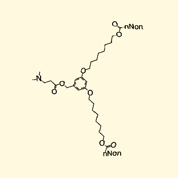 CCCCCCCCCC(=O)OCCCCCCCCOc1cc(COC(=O)CCN(C)C)cc(OCCCCCCCCOC(=O)CCCCCCCCC)c1